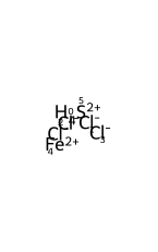 [Cl-].[Cl-].[Cl-].[Cl-].[Fe+2].[SH4+2]